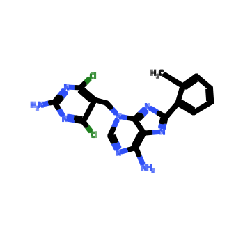 Cc1ccccc1-c1nc2c(N)ncn(Cc3c(Cl)nc(N)nc3Cl)c-2n1